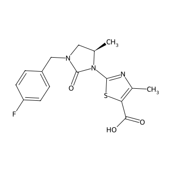 Cc1nc(N2C(=O)N(Cc3ccc(F)cc3)C[C@H]2C)sc1C(=O)O